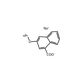 CCCOc1cc(C(=O)[O-])c2ccccc2c1.[Na+]